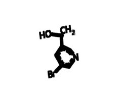 C=C(O)c1cncc(Br)c1